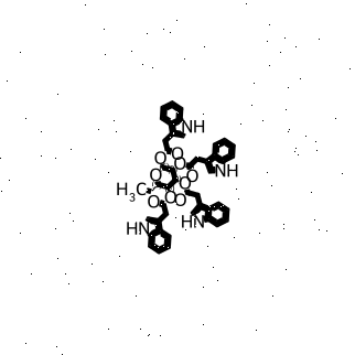 CC[C@@H]1O[C@@H](OC(=O)Cc2c[nH]c3ccccc23)[C@H](OC(=O)Cc2c[nH]c3ccccc23)[C@H](OC(=O)Cc2c[nH]c3ccccc23)[C@H]1OC(=O)Cc1c[nH]c2ccccc12